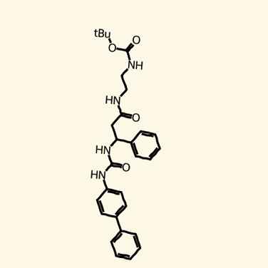 CC(C)(C)OC(=O)NCCNC(=O)CC(NC(=O)Nc1ccc(-c2ccccc2)cc1)c1ccccc1